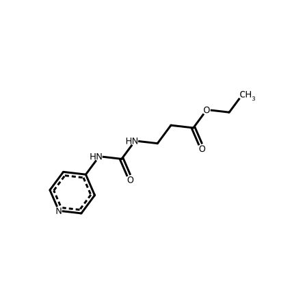 CCOC(=O)CCNC(=O)Nc1ccncc1